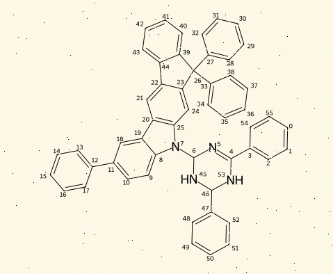 c1ccc(C2=NC(n3c4ccc(-c5ccccc5)cc4c4cc5c(cc43)C(c3ccccc3)(c3ccccc3)c3ccccc3-5)NC(c3ccccc3)N2)cc1